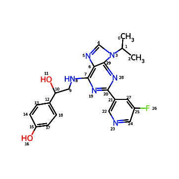 CC(C)n1cnc2c(NCC(O)c3ccc(O)cc3)nc(-c3cncc(F)c3)nc21